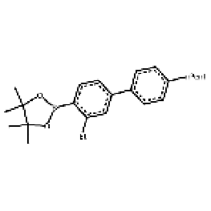 CCCCCc1ccc(-c2ccc(B3OC(C)(C)C(C)(C)O3)c(CC)c2)cc1